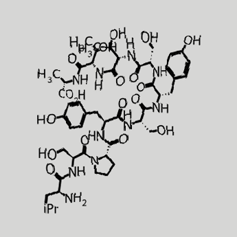 CC(C)C[C@H](N)C(=O)N[C@@H](CO)C(=O)N1CCC[C@H]1C(=O)N[C@@H](Cc1ccc(O)cc1)C(=O)N[C@@H](CO)C(=O)N[C@@H](Cc1ccc(O)cc1)C(=O)N[C@@H](CO)C(=O)N[C@H](C(=O)N[C@H](C(=O)N[C@@H](C)C(=O)O)[C@@H](C)O)[C@@H](C)O